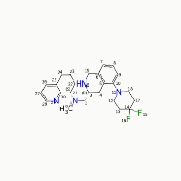 CN(C[C@H]1Cc2c(cccc2N2CCC(F)(F)CC2)CN1)[C@H]1CCCc2cccnc21